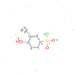 O=S(=O)(Cl)c1ccc(O)c(C(F)(F)F)c1